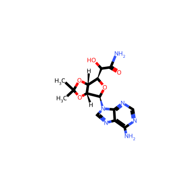 CC1(C)O[C@@H]2[C@H](O1)[C@@H](C(O)C(N)=O)O[C@H]2n1cnc2c(N)ncnc21